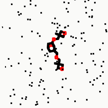 CC1(COCC2CC3CC(OCC4(C)COC4)C2O3)COC1